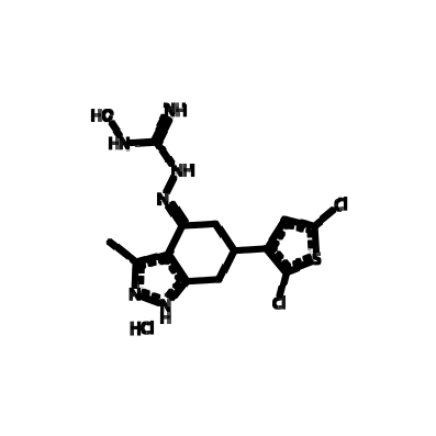 Cc1n[nH]c2c1C(=NNC(=N)NO)CC(c1cc(Cl)sc1Cl)C2.Cl